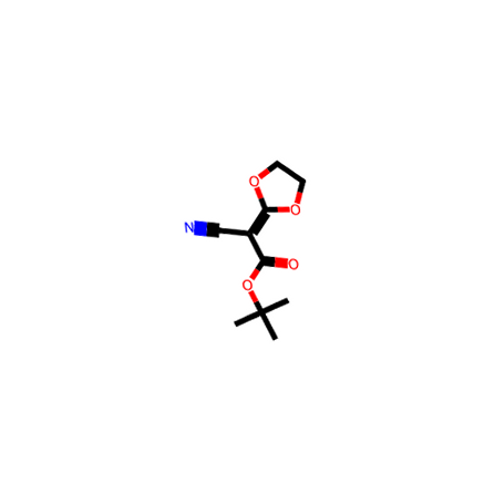 CC(C)(C)OC(=O)C(C#N)=C1OCCO1